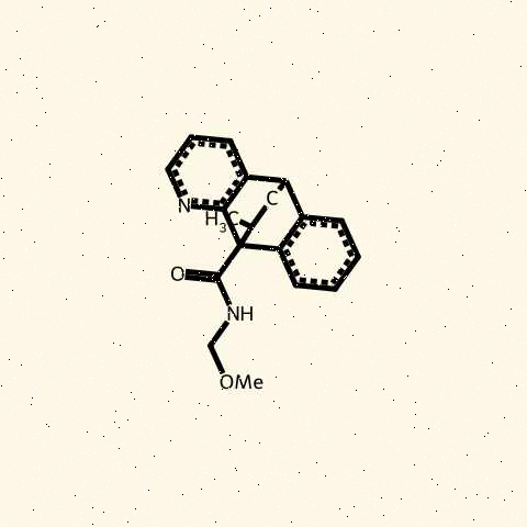 COCNC(=O)C12c3ccccc3C(CC1C)c1cccnc12